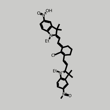 CCN1/C(=C\C=C2/CCCC(/C=C/C3=[N+](CC)c4ccc([N+](C)=O)cc4C3(C)C)=C2Cl)C(C)(C)c2cc([N+](=O)O)ccc21